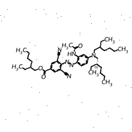 CCCCC(CC)COC(=O)c1cc(C#N)c(N=Nc2ccc(N(CC(CC)CCCC)C[C@@H](CC)CCCC)cc2NC(C)=O)c(C#N)c1